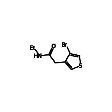 CCNC(=O)Cc1cscc1Br